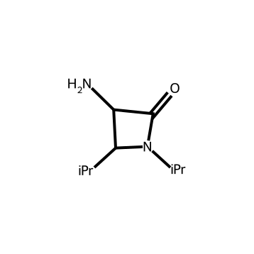 CC(C)C1C(N)C(=O)N1C(C)C